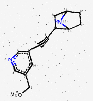 COCc1cncc(C#CC2CC3CCC2N3)c1